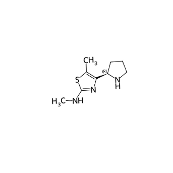 CNc1nc([C@H]2CCCN2)c(C)s1